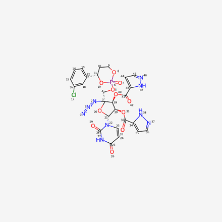 [N-]=[N+]=N[C@]1(COP2(=O)OCC[C@@H](c3cccc(Cl)c3)O2)O[C@@H](n2ccc(=O)[nH]c2=O)[C@H](OC(=O)c2ccn[nH]2)[C@@H]1OC(=O)c1ccn[nH]1